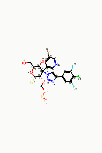 O=POCO[C@@H]1[C@H](S)O[C@@H](CO)[C@@H](O)[C@@]1(c1cncc(Br)c1)n1cc(-c2cc(F)c(Cl)c(F)c2)nn1